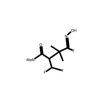 CNC(=O)C(C(F)F)C(C)(C)/C(F)=N/O